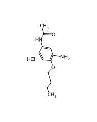 CCCCOc1ccc(NC(C)=O)cc1N.Cl